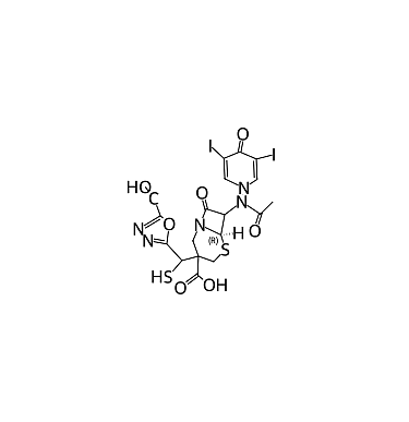 CC(=O)N(C1C(=O)N2CC(C(=O)O)(C(S)c3nnc(CO)o3)CS[C@H]12)n1cc(I)c(=O)c(I)c1